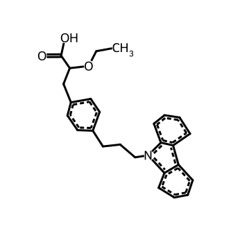 CCOC(Cc1ccc(CCCn2c3ccccc3c3ccccc32)cc1)C(=O)O